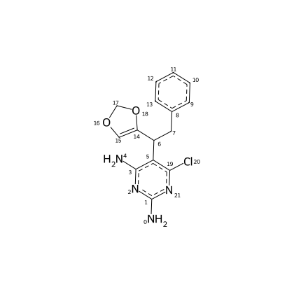 Nc1nc(N)c(C(Cc2ccccc2)C2=COCO2)c(Cl)n1